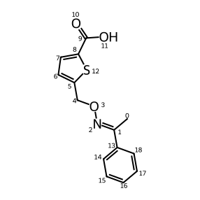 CC(=NOCc1ccc(C(=O)O)s1)c1ccccc1